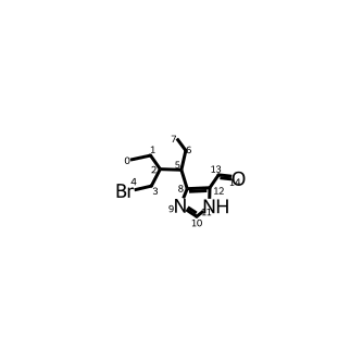 CCC(CBr)C(CC)c1nc[nH]c1C=O